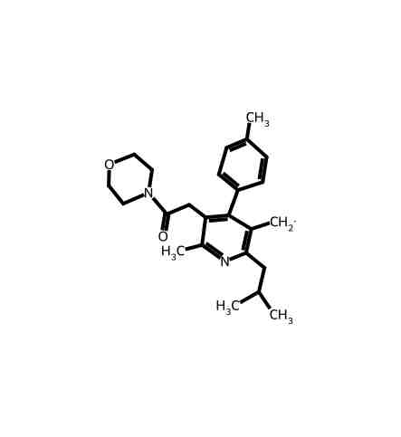 [CH2]c1c(CC(C)C)nc(C)c(CC(=O)N2CCOCC2)c1-c1ccc(C)cc1